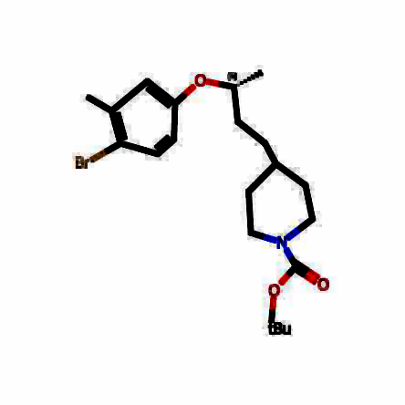 Cc1cc(O[C@H](C)CCC2CCN(C(=O)OC(C)(C)C)CC2)ccc1Br